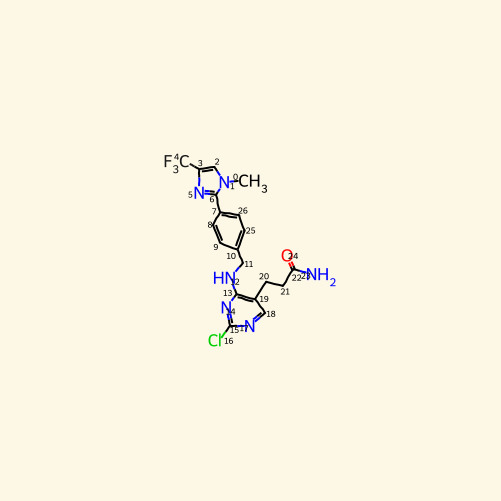 Cn1cc(C(F)(F)F)nc1-c1ccc(CNc2nc(Cl)ncc2CCC(N)=O)cc1